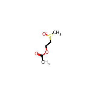 CC(=O)OCC[S+](C)[O-]